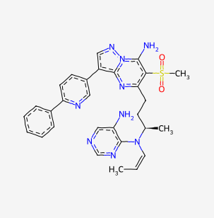 C/C=C\N(c1ncncc1N)[C@H](C)CCc1nc2c(-c3ccc(-c4ccccc4)nc3)cnn2c(N)c1S(C)(=O)=O